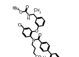 C[C@@H](NC(=O)OC(C)(C)C)c1cccc(Oc2cc(Cl)ccc2N(CCCC(=O)O)C(=O)c2ccc(-c3ccccc3)cc2)c1